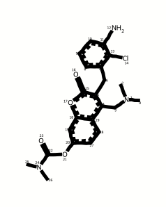 CN(C)Cc1c(Cc2cccc(N)c2Cl)c(=O)oc2cc(OC(=O)N(C)C)ccc12